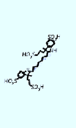 CC1(CCCS(=O)(=O)O)C(/C=C/C=C/C=C/C=C2/Nc3ccc(S(=O)(=O)O)cc3C2(C)CCCS(=O)(=O)O)=Nc2ccc(S(=O)(=O)O)cc21